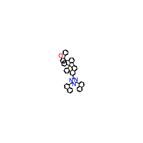 c1ccc(C2(c3ccccc3)c3c(cccc3-c3cccc4oc5ccccc5c34)-c3ccc4cc(-c5nc(-c6cccc7ccccc67)nc(-c6cccc7ccccc67)n5)ccc4c32)cc1